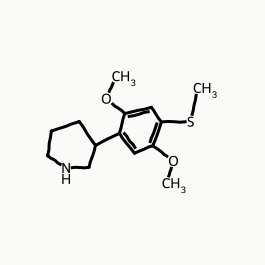 COc1cc(C2CCCNC2)c(OC)cc1SC